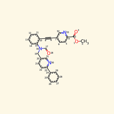 COC(=O)c1ccc(C#Cc2ccccc2N(C=O)Cc2ccc(-c3ccccc3)nc2)cn1